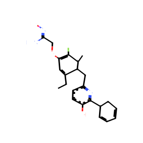 CCC1=CC(OC/C(N)=N/O)=C(F)C(C)C1Cc1ccc(O)c(C2C=CC=CC2)n1